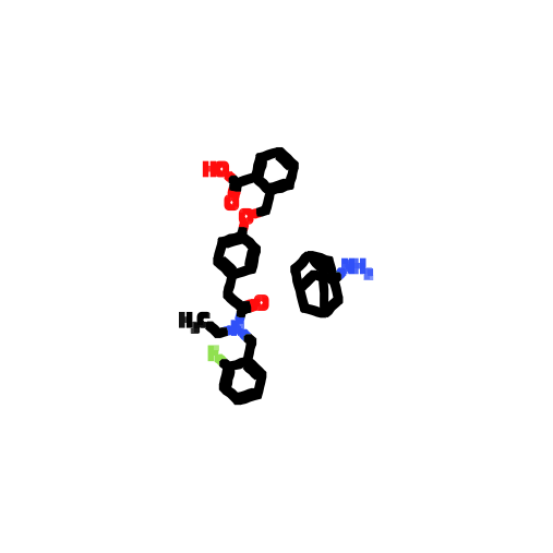 CCN(Cc1ccccc1F)C(=O)Cc1ccc(OCc2ccccc2C(=O)O)cc1.NC12CC3CC(CC(C3)C1)C2